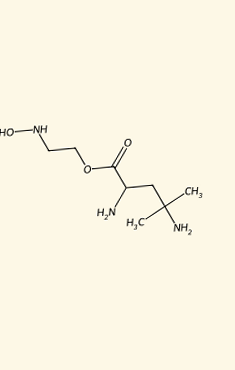 CC(C)(N)CC(N)C(=O)OCCNO